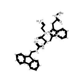 C=CCOC(=O)[C@H](Cc1nc(CC(=O)OC(C)(C)C)c2ccccn12)NC(=O)OCC1c2ccccc2-c2ccccc21